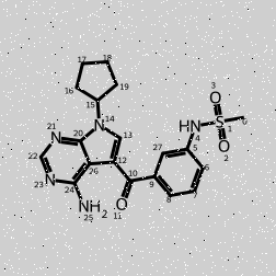 CS(=O)(=O)Nc1cccc(C(=O)c2cn(C3CCCC3)c3ncnc(N)c23)c1